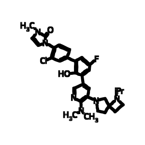 CC(C)N1CCC12CCN(c1cc(-c3cc(F)cc(-c4ccc(-n5ccn(C)c5=O)c(Cl)c4)c3O)cnc1N(C)C)C2